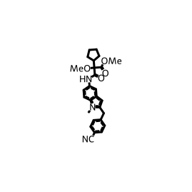 COC(=O)C(OC)(C(=O)Nc1ccc2c(c1)cc(Cc1ccc(C#N)cc1)n2C)C1CCCC1